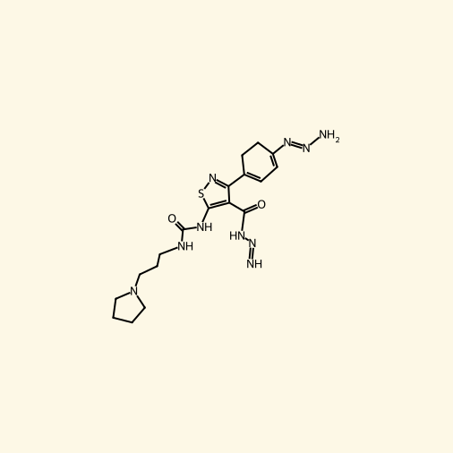 N=NNC(=O)c1c(C2=CC=C(N=NN)CC2)nsc1NC(=O)NCCCN1CCCC1